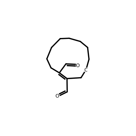 O=C/C1=C(/C=O)CCCCCCCCCC1